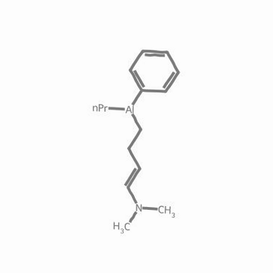 CC[CH2][Al]([CH2]CC=CN(C)C)[c]1ccccc1